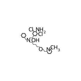 Cc1cccc(CCOCCCCCCN(Cc2ccccc2)CC(O)c2cc(Cl)c(N)c(Cl)c2)n1